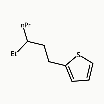 CCCC(CC)CCc1cccs1